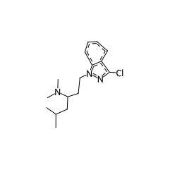 CC(C)CC(CCn1nc(Cl)c2ccccc21)N(C)C